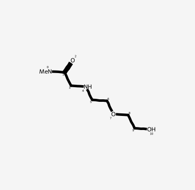 CNC(=O)CNCCOCCO